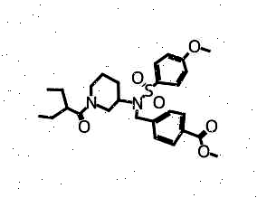 CCC(CC)C(=O)N1CCCC(N(Cc2ccc(C(=O)OC)cc2)S(=O)(=O)c2ccc(OC)cc2)C1